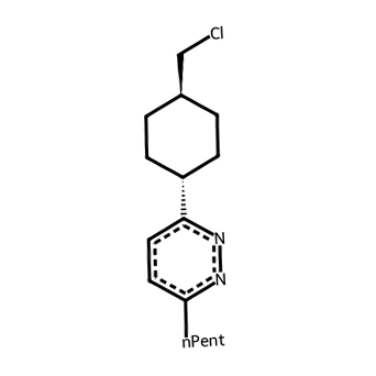 CCCCCc1ccc([C@H]2CC[C@H](CCl)CC2)nn1